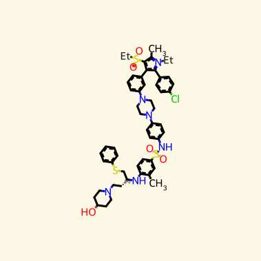 CCn1c(C)c(S(=O)(=O)CC)c(-c2cccc(N3CCN(c4ccc(NS(=O)(=O)c5ccc(N[C@H](CCN6CCC(O)CC6)CSc6ccccc6)c(C)c5)cc4)CC3)c2)c1-c1ccc(Cl)cc1